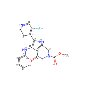 CC(C)(C)OC(=O)N1CC(=O)c2c([nH]c(C3=C(F)C=NCC3)c2NC2=C=C=CC=C2)C1